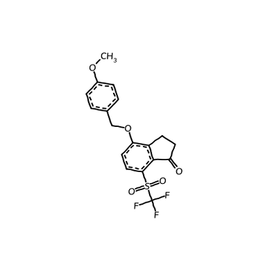 COc1ccc(COc2ccc(S(=O)(=O)C(F)(F)F)c3c2CCC3=O)cc1